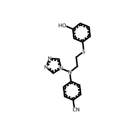 N#Cc1ccc(N(CCSc2cccc(O)c2)n2cnnc2)cc1